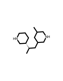 CC1CNCC(CC(C)[C@H]2CCCNC2)C1